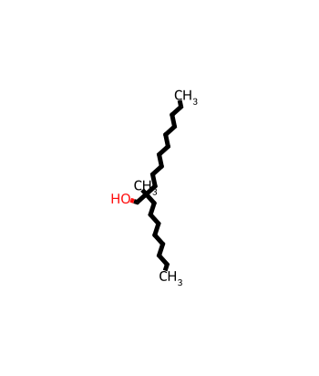 CCCCCCCCCCC(C)(CO)CCCCCCCC